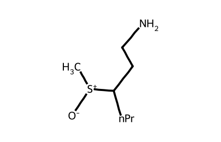 CCCC(CCN)[S+](C)[O-]